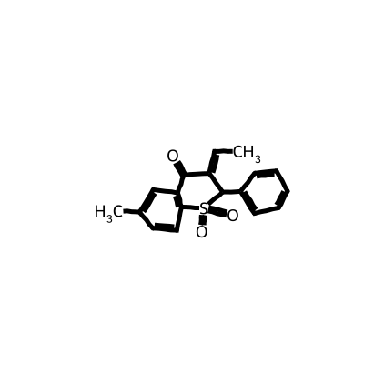 CC=C1C(=O)c2cc(C)ccc2S(=O)(=O)C1c1ccccc1